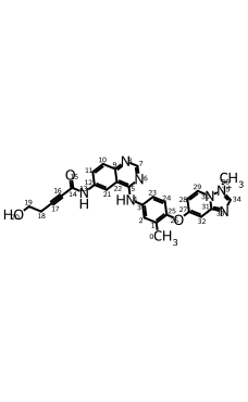 Cc1cc(Nc2ncnc3ccc(NC(=O)C#CCCO)cc23)ccc1Oc1ccn2c(c1)nc[n+]2C